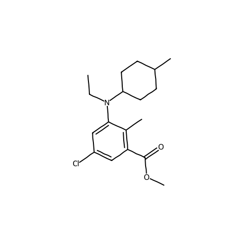 CCN(c1cc(Cl)cc(C(=O)OC)c1C)C1CCC(C)CC1